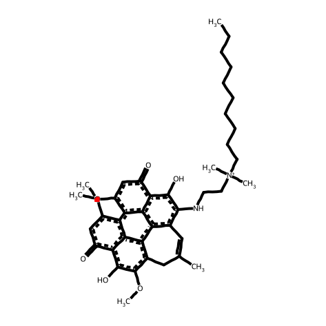 CCCCCCCCCC[N+](C)(C)CCNc1c(O)c2c(=O)cc(OC)c3c4c(OC)cc(=O)c5c(O)c(OC)c6c(c(c1C=C(C)C6)c23)c54